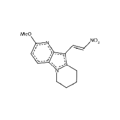 COc1ccc2c(n1)c(C=C[N+](=O)[O-])c1n2CCCC1